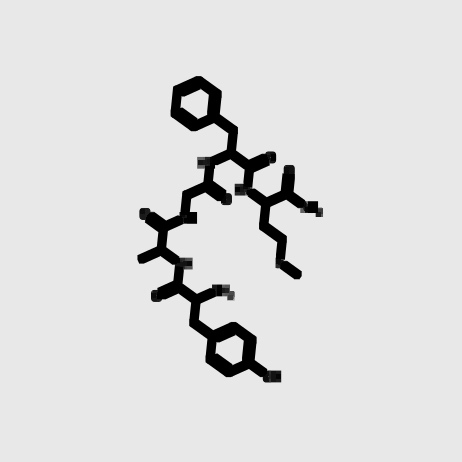 CSCCC(NC(=O)C(Cc1ccccc1)NC(=O)CNC(=O)C(C)NC(=O)C(N)Cc1ccc(O)cc1)C(N)=O